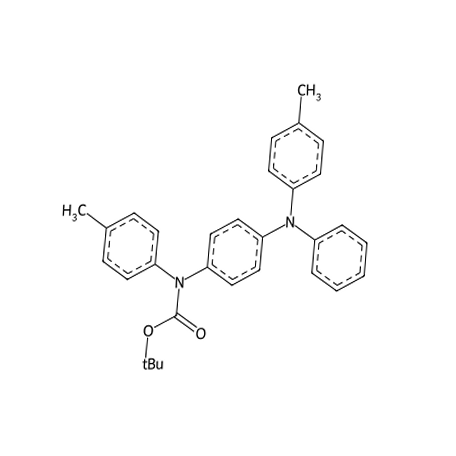 Cc1ccc(N(C(=O)OC(C)(C)C)c2ccc(N(c3ccccc3)c3ccc(C)cc3)cc2)cc1